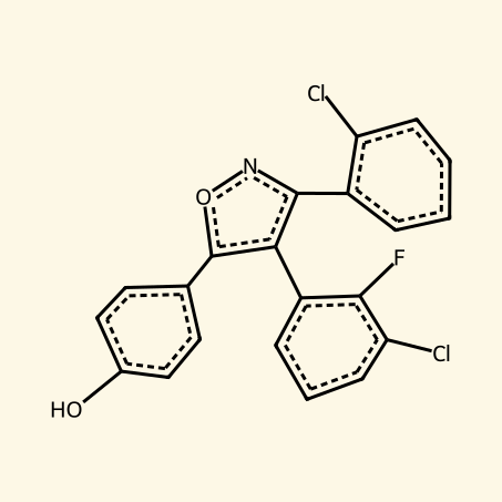 Oc1ccc(-c2onc(-c3ccccc3Cl)c2-c2cccc(Cl)c2F)cc1